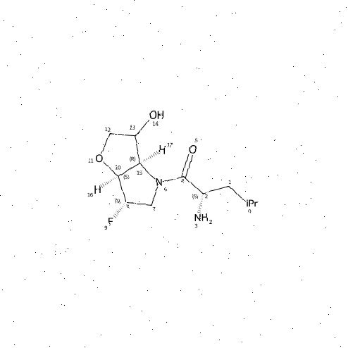 CC(C)C[C@H](N)C(=O)N1C[C@H](F)[C@H]2OCC(O)[C@H]21